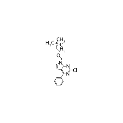 CS(C)(C)CCOCn1ccc2c(-c3ccccc3)nc(Cl)nc21